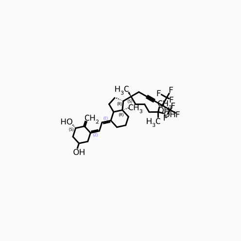 C=C1/C(=C\C=C2/CCC[C@@]3(C)C2CC[C@@H]3[C@](C)(CC#CC(O)(C(F)(F)F)C(F)(F)F)CCCC(C)(C)O)CC(O)C[C@@H]1O